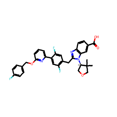 CC1(C)COC[C@H]1n1c(Cc2cc(F)c(-c3cccc(OCc4ccc(F)cc4)n3)cc2F)nc2ccc(C(=O)O)cc21